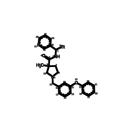 CCC(NC(=O)C1(C)CCN(Cc2cccc(Oc3ccccc3)c2)C1)c1cccnc1